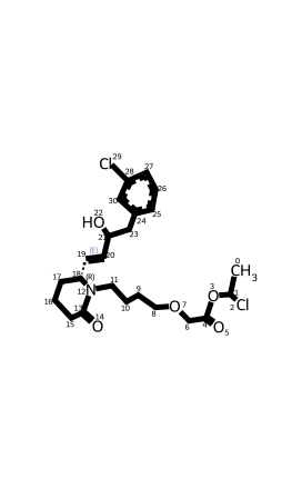 CC(Cl)OC(=O)COCCCCN1C(=O)CCC[C@@H]1/C=C/C(O)Cc1cccc(Cl)c1